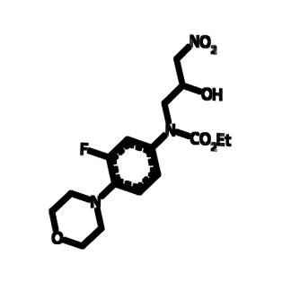 CCOC(=O)N(CC(O)C[N+](=O)[O-])c1ccc(N2CCOCC2)c(F)c1